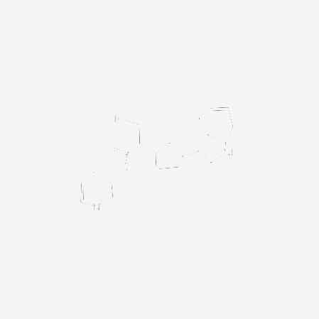 O=CCC(C(=O)Oc1cccnc1)c1cc(-c2c[nH]c3ccccc23)cs1